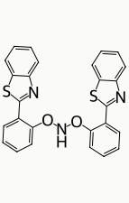 c1ccc(-c2nc3ccccc3s2)c(ONOc2ccccc2-c2nc3ccccc3s2)c1